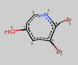 Oc1cnc(Br)c(Br)c1